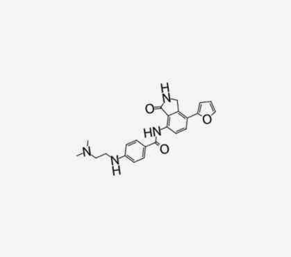 CN(C)CCNc1ccc(C(=O)Nc2ccc(-c3ccco3)c3c2C(=O)NC3)cc1